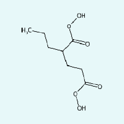 CCCC(CCC(=O)OO)C(=O)OO